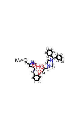 COCc1cc(/C=C/c2ccccc2OCC(O)CN2CCN(C(c3ccccc3)c3ccccc3)CC2)on1